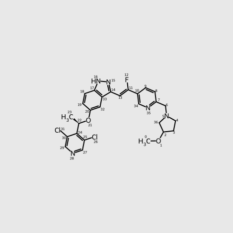 COC1CCN(Cc2ccc(/C(F)=C/c3n[nH]c4ccc(O[C@H](C)c5c(Cl)cncc5Cl)cc34)cn2)C1